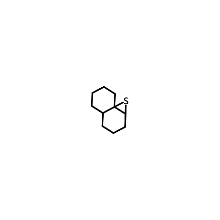 C1CCC23SC2CCCC3C1